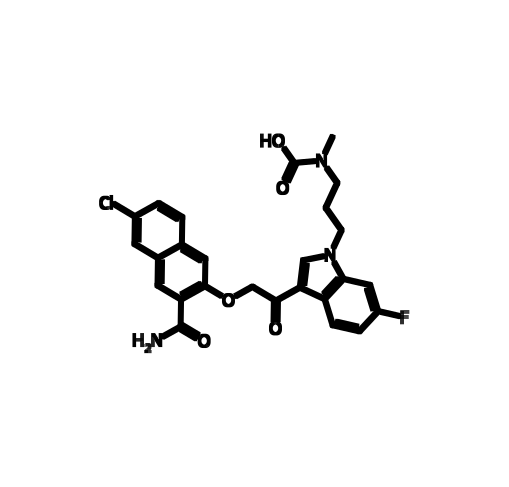 CN(CCCn1cc(C(=O)COc2cc3ccc(Cl)cc3cc2C(N)=O)c2ccc(F)cc21)C(=O)O